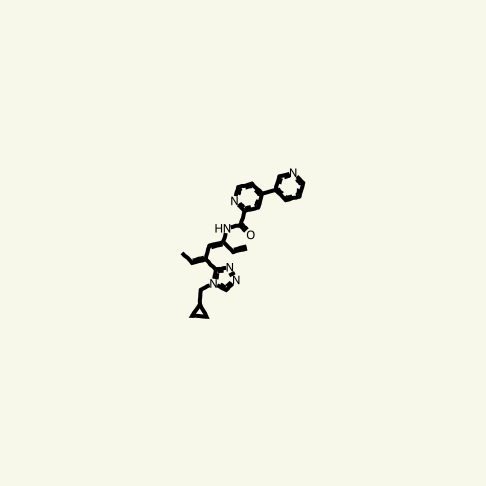 C=C/C(=C\C(=C/C)c1nncn1CC1CC1)NC(=O)c1cc(-c2cccnc2)ccn1